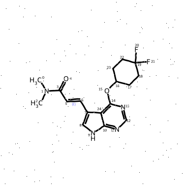 CN(C)C(=O)/C=C/c1c[nH]c2ncnc(OC3CCC(F)(F)CC3)c12